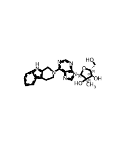 C[C@@]1(O)[C@H](O)[C@@H](CO)O[C@H]1n1cnc2c(N3CCc4c([nH]c5ccccc45)C3)ncnc21